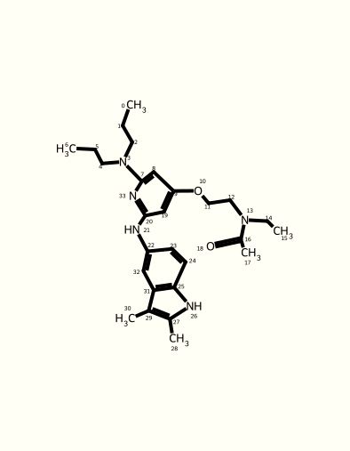 CCCN(CCC)c1cc(OCCN(CC)C(C)=O)cc(Nc2ccc3[nH]c(C)c(C)c3c2)n1